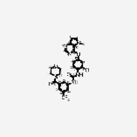 Cn1ccc2ncnc(Oc3ccc(NC(=O)Nc4cc(C(=O)N5CCOCC5)cc(C(F)(F)F)c4)c(Cl)c3)c21